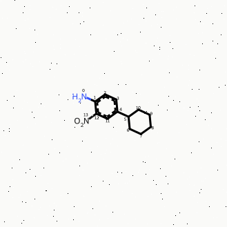 Nc1ccc(C2CCCCC2)cc1[N+](=O)[O-]